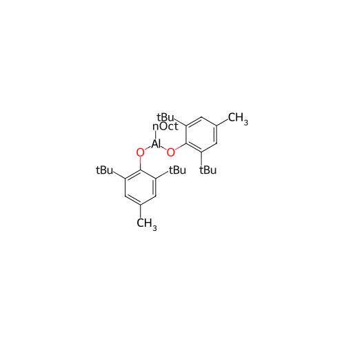 CCCCCCC[CH2][Al]([O]c1c(C(C)(C)C)cc(C)cc1C(C)(C)C)[O]c1c(C(C)(C)C)cc(C)cc1C(C)(C)C